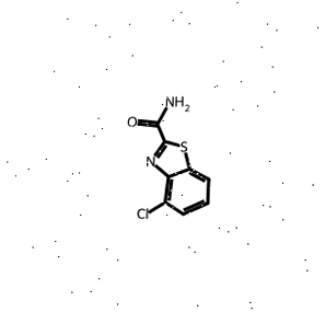 NC(=O)c1nc2c(Cl)cccc2s1